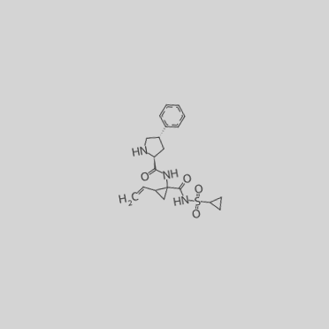 C=CC1CC1(NC(=O)[C@@H]1C[C@@H](c2ccccc2)CN1)C(=O)NS(=O)(=O)C1CC1